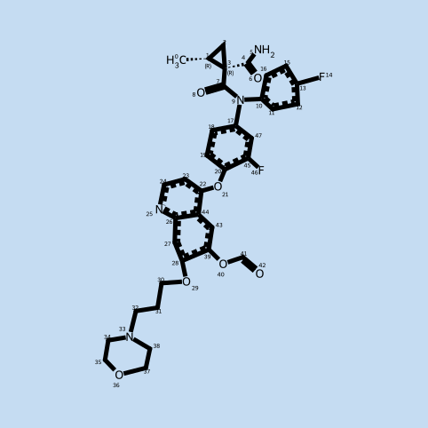 C[C@@H]1C[C@@]1(C(N)=O)C(=O)N(c1ccc(F)cc1)c1ccc(Oc2ccnc3cc(OCCCN4CCOCC4)c(OC=O)cc23)c(F)c1